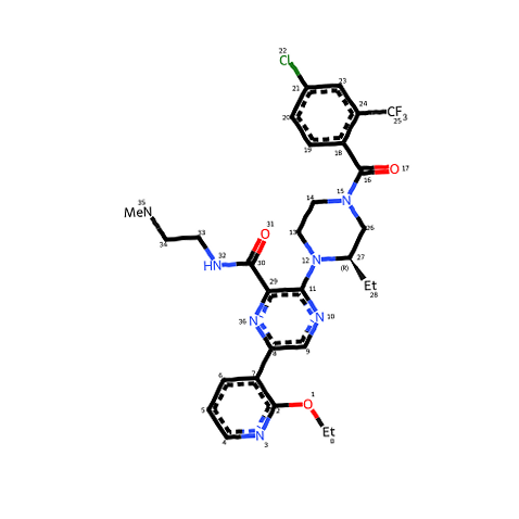 CCOc1ncccc1-c1cnc(N2CCN(C(=O)c3ccc(Cl)cc3C(F)(F)F)C[C@H]2CC)c(C(=O)NCCNC)n1